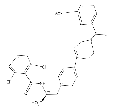 CC(=O)Nc1cccc(C(=O)N2CC=C(c3ccc(C[C@H](NC(=O)c4c(Cl)cccc4Cl)C(=O)O)cc3)CC2)c1